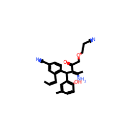 C/C=C\c1cc(C#N)ccc1C(/C(C(=O)COCCC#N)=C(/C)N)c1cc(C)ccc1O